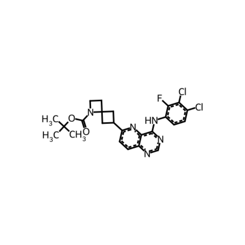 CC(C)(C)OC(=O)N1CCC12CC(c1ccc3ncnc(Nc4ccc(Cl)c(Cl)c4F)c3n1)C2